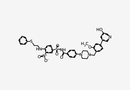 COc1cc(-c2cncc(O)c2)ccc1CN1CCN(c2ccc(C(=O)NS(=O)(=O)c3ccc(NCCSc4ccccc4)c([N+](=O)[O-])c3)cc2)CC1